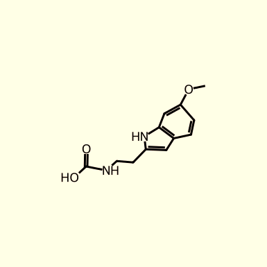 COc1ccc2cc(CCNC(=O)O)[nH]c2c1